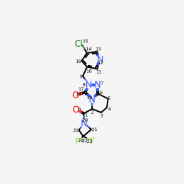 O=C(C1CCCc2nn(Cc3cncc(Cl)c3)c(=O)n21)N1CC(F)(F)C1